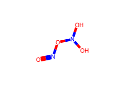 O=NON(O)O